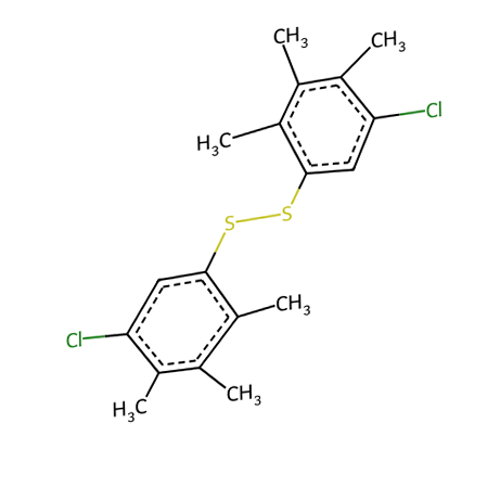 Cc1c(Cl)cc(SSc2cc(Cl)c(C)c(C)c2C)c(C)c1C